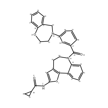 O=C(Nc1cc2c(s1)-c1ccccc1N(C(=O)c1cccc(N3CCOc4ccccc4C3)n1)CC2)C1CC1